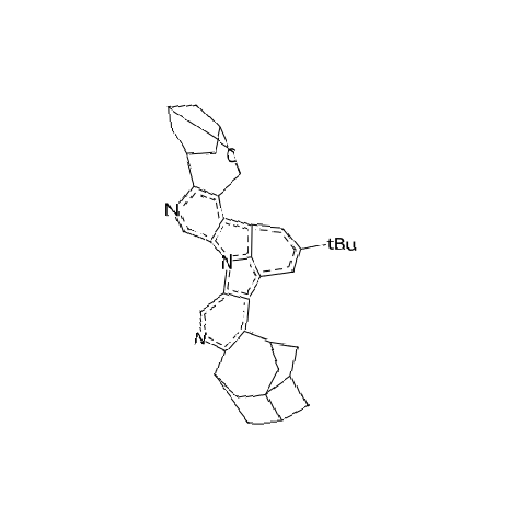 CC(C)(C)c1cc2c3c4c(ncc3n3c5cnc6c(c5c(c1)c23)C1CC2CC3CC6CC32C1)C1CC2CC(C1)CC4C2